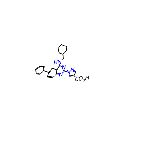 O=C(O)c1cnn(-c2nc(NCC3CCCCC3)c3cc(-c4ccccc4)ccc3n2)c1